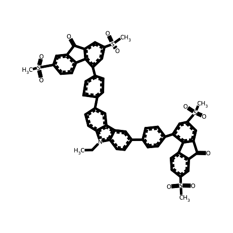 CCn1c2ccc(-c3ccc(-c4cc(S(C)(=O)=O)cc5c4-c4ccc(S(C)(=O)=O)cc4C5=O)cc3)cc2c2cc(-c3ccc(-c4cc(S(C)(=O)=O)cc5c4-c4ccc(S(C)(=O)=O)cc4C5=O)cc3)ccc21